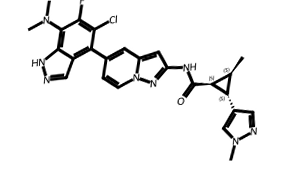 C[C@@H]1[C@H](C(=O)Nc2cc3cc(-c4c(Cl)c(F)c(N(C)C)c5[nH]ncc45)ccn3n2)[C@H]1c1cnn(C)c1